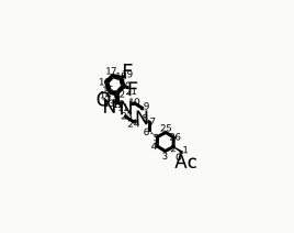 CC(=O)C[C@H]1CC[C@H](CCN2CCN(c3noc4ccc(F)c(F)c34)CC2)CC1